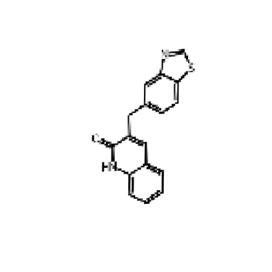 O=c1[nH]c2ccccc2cc1Cc1ccc2scnc2c1